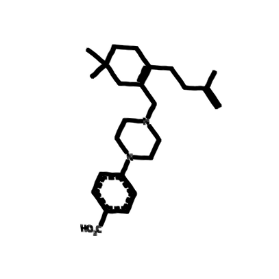 C=C(C)CCC1=C(CN2CCN(c3ccc(C(=O)O)cc3)CC2)CC(C)(C)CC1